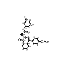 COc1ccc(-c2nn(NC(=O)Cc3cc(F)cc(F)c3)c(=O)c3ccccc23)cc1